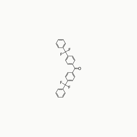 O=C(c1ccc(C(F)(F)c2ccccc2)cc1)c1ccc(C(F)(F)c2ccccc2)cc1